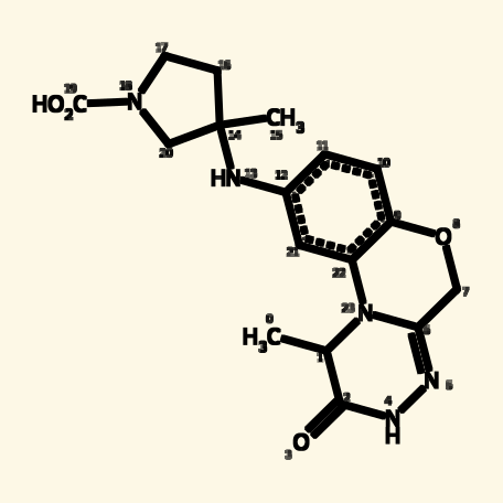 CC1C(=O)NN=C2COc3ccc(NC4(C)CCN(C(=O)O)C4)cc3N21